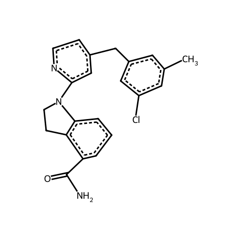 Cc1cc(Cl)cc(Cc2ccnc(N3CCc4c(C(N)=O)cccc43)c2)c1